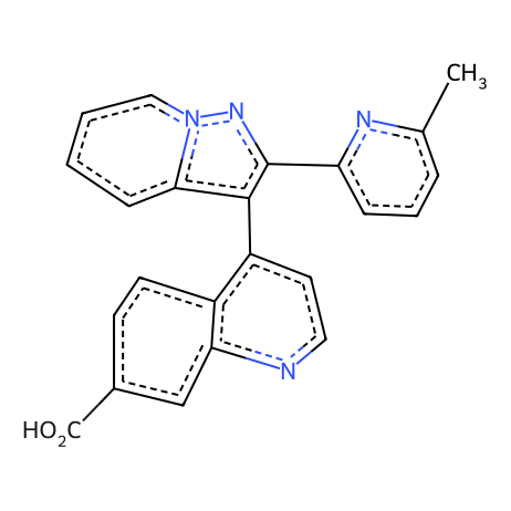 Cc1cccc(-c2nn3ccccc3c2-c2ccnc3cc(C(=O)O)ccc23)n1